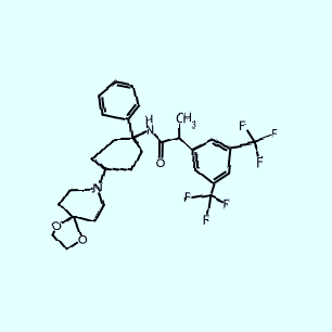 CC(C(=O)NC1(c2ccccc2)CCC(N2CCC3(CC2)OCCO3)CC1)c1cc(C(F)(F)F)cc(C(F)(F)F)c1